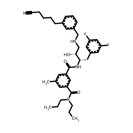 CCCN(CCC)C(=O)c1cc(C)cc(C(=O)N[C@@H](Cc2cc(F)cc(F)c2)[C@H](O)CNCc2cccc(CCCCC#N)c2)c1